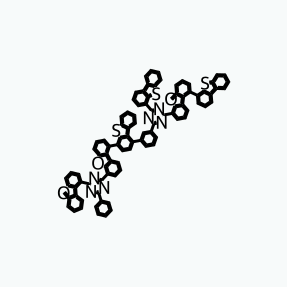 c1ccc(-c2nc(-c3cccc4c3oc3cccc(-c5ccc(-c6cccc(-c7nc(-c8cccc9c8oc8cccc(-c%10cccc%11c%10sc%10ccccc%10%11)c89)nc(-c8cccc9c8sc8ccccc89)n7)c6)c6c5sc5ccccc56)c34)nc(-c3cccc4oc5ccccc5c34)n2)cc1